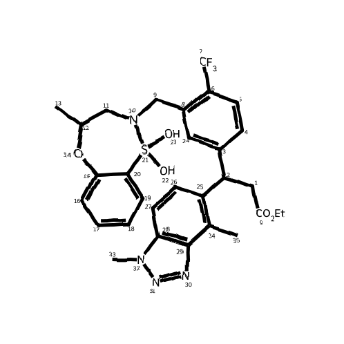 CCOC(=O)CC(c1ccc(C(F)(F)F)c(CN2CC(C)Oc3ccccc3S2(O)O)c1)c1ccc2c(nnn2C)c1C